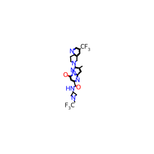 Cc1cc2nc(C(=O)NC3CN(CC(F)(F)F)C3)cc(=O)n2nc1N1CCc2ncc(C(F)(F)F)cc2C1